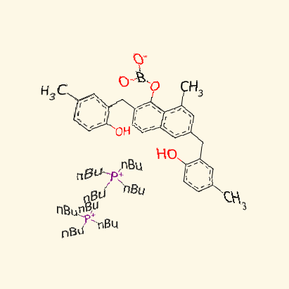 CCCC[P+](CCCC)(CCCC)CCCC.CCCC[P+](CCCC)(CCCC)CCCC.Cc1ccc(O)c(Cc2cc(C)c3c(OB([O-])[O-])c(Cc4cc(C)ccc4O)ccc3c2)c1